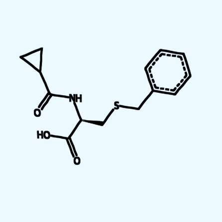 O=C(N[C@@H](CSCc1ccccc1)C(=O)O)C1CC1